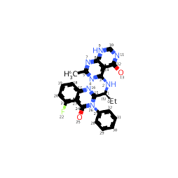 CC[C@H](Nc1nc(C)nc2[nH]cnc(=O)c12)c1nc2cccc(F)c2c(=O)n1-c1ccccc1